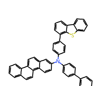 c1ccc(-c2ccc(N(c3ccc(-c4cccc5c4sc4ccccc45)cc3)c3ccc4c(ccc5c6ccccc6ccc45)c3)cc2)cc1